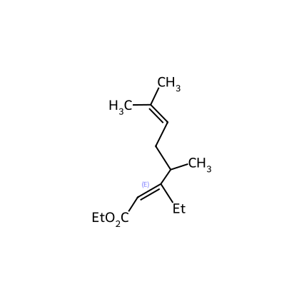 CCOC(=O)/C=C(\CC)C(C)CC=C(C)C